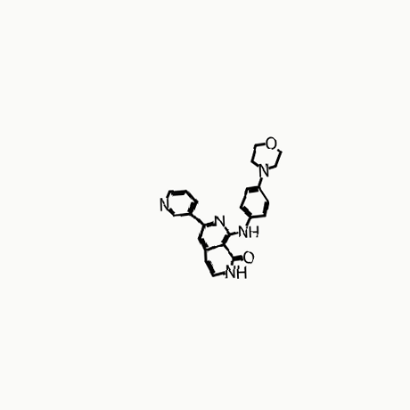 O=c1[nH]ccc2cc(-c3cccnc3)nc(Nc3ccc(N4CCOCC4)cc3)c12